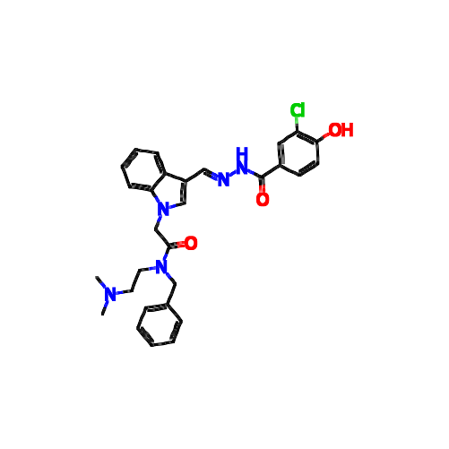 CN(C)CCN(Cc1ccccc1)C(=O)Cn1cc(/C=N/NC(=O)c2ccc(O)c(Cl)c2)c2ccccc21